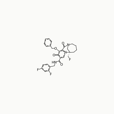 O=C(NCc1ccc(F)cc1F)c1cn2c(c(OCc3ccccc3)c1=O)C(=O)N1CCCC[C@]2(CF)C1